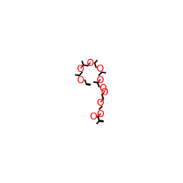 C=CCOC(C)COC(C)COC(C)COC(C)COC(C)COOCCOCCOC(=O)C(=C)C